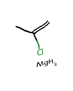 C=C(C)Cl.[MgH2]